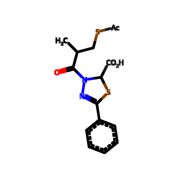 CC(=O)SCC(C)C(=O)N1N=C(c2ccccc2)SC1C(=O)O